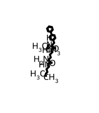 CC(C)CCCNC(=O)[C@H](N)CCCNC(=O)C(Cc1ccc(-c2ccccc2)cc1)NC(C)C